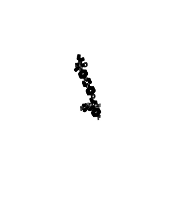 CCC(C)n1nc(C)n(-c2ccc(N3CCN(c4ccc(OCC5COC(Cn6cncn6)(c6ccc(F)cc6F)O5)cc4)CC3)cc2)c1=O